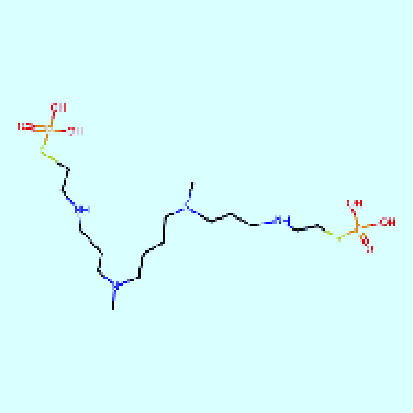 CN(CCCCN(C)CCCNCCSP(=O)(O)O)CCCNCCSP(=O)(O)O